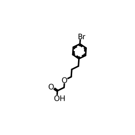 O=C(O)COCCCc1ccc(Br)cc1